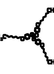 CCCCCCCCOc1ccc(OB(Oc2ccc(OCCCCCCCC)cc2)Oc2ccc(OCCCCCCCC)cc2)cc1